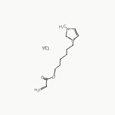 C=CC(=O)OCCCCCCN1C=CN(C)C1.Cl